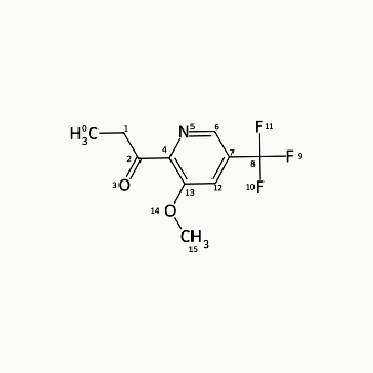 CCC(=O)c1ncc(C(F)(F)F)cc1OC